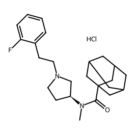 CN(C(=O)C12CC3CC(CC(C3)C1)C2)[C@H]1CCN(CCc2ccccc2F)C1.Cl